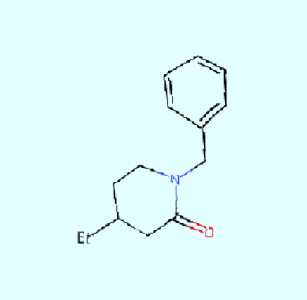 CCC1CCN(Cc2ccccc2)C(=O)C1